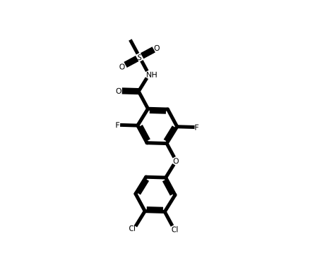 CS(=O)(=O)NC(=O)c1cc(F)c(Oc2ccc(Cl)c(Cl)c2)cc1F